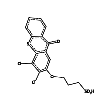 O=c1c2ccccc2sc2c(Cl)c(Cl)c(OCCCS(=O)(=O)O)cc12